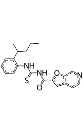 CCCC(C)c1ccccc1NC(=S)NC(=O)c1cc2ccncc2o1